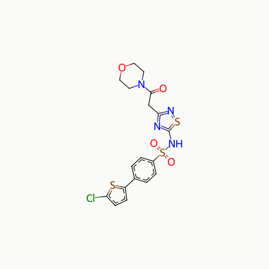 O=C(Cc1nsc(NS(=O)(=O)c2ccc(-c3ccc(Cl)s3)cc2)n1)N1CCOCC1